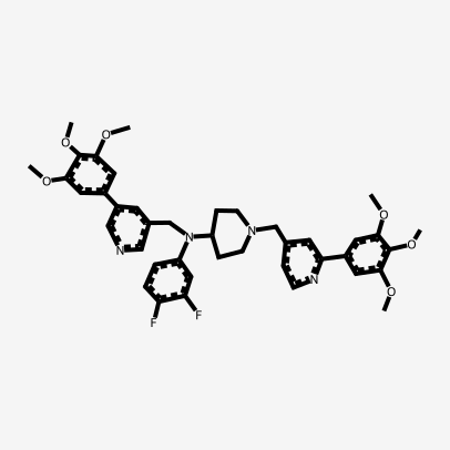 COc1cc(-c2cncc(CN(c3ccc(F)c(F)c3)C3CCN(Cc4ccnc(-c5cc(OC)c(OC)c(OC)c5)c4)CC3)c2)cc(OC)c1OC